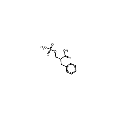 CS(=O)(=O)OC[C@H](Cc1ccccc1)C(=O)O